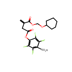 C=C(CC(=O)Oc1c(F)c(F)c(S(=O)(=O)O)c(F)c1F)C(=O)OCOC1CCCCC1